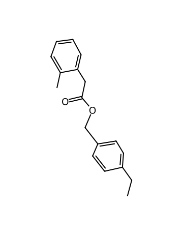 CCc1ccc(COC(=O)Cc2ccccc2C)cc1